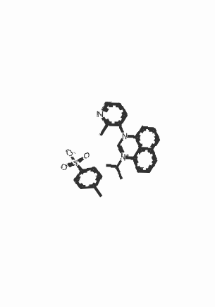 Cc1ccc(S(=O)(=O)[O-])cc1.Cc1ncccc1N1C=[N+](C(C)C)c2cccc3cccc1c23